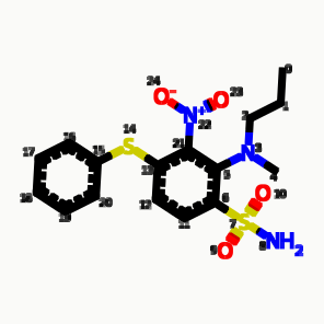 CCCN(C)c1c(S(N)(=O)=O)ccc(Sc2ccccc2)c1[N+](=O)[O-]